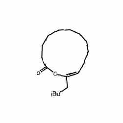 CCC(C)C/C1=C/CCCCCCCCCC(=O)O1